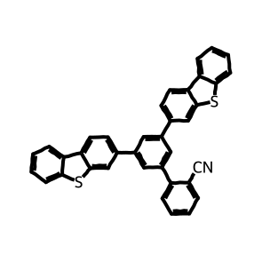 N#Cc1ccccc1-c1cc(-c2ccc3c(c2)sc2ccccc23)cc(-c2ccc3c(c2)sc2ccccc23)c1